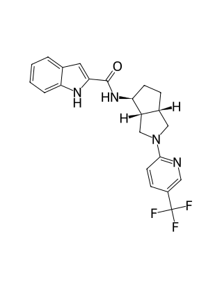 O=C(N[C@H]1CC[C@@H]2CN(c3ccc(C(F)(F)F)cn3)C[C@@H]21)c1cc2ccccc2[nH]1